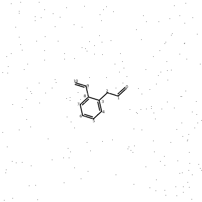 C=CCc1ccccc1C=C